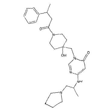 CC(CN1CCCC1)Nc1cc(=O)n(CC2(O)CCN(C(=O)CC(C)c3ccccc3)CC2)cn1